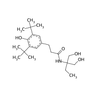 CCC(CO)(CO)NC(=O)CCc1cc(C(C)(C)C)c(O)c(C(C)(C)C)c1